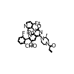 C=CC(=O)N1CCN(c2nc(=O)n(-c3c(CC)ccnc3C(C)C)c3nc(-c4c(F)cccc4C=O)c(Cl)cc23)[C@@H](C)C1